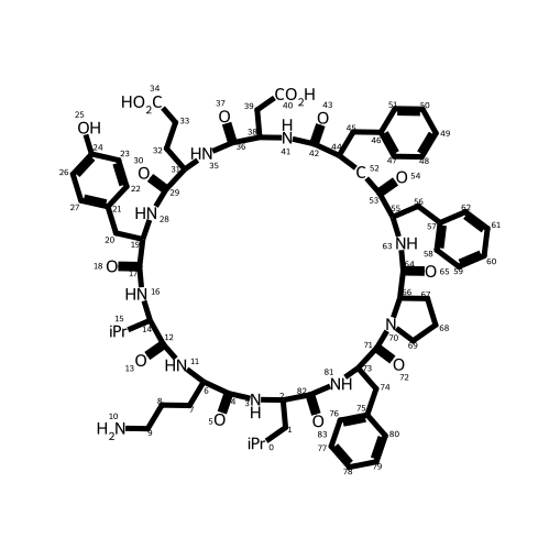 CC(C)CC1NC(=O)C(CCCN)NC(=O)C(C(C)C)NC(=O)C(Cc2ccc(O)cc2)NC(=O)C(CCC(=O)O)NC(=O)C(CC(=O)O)NC(=O)C(Cc2ccccc2)CC(=O)C(Cc2ccccc2)NC(=O)C2CCCN2C(=O)C(Cc2ccccc2)NC1=O